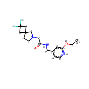 O=C(CN1CCC2(C1)CC(F)(F)C2)NCc1ccnc(OCC(F)(F)F)c1